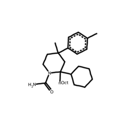 CCCCCCCCC1(C2CCCCC2)CC(C)(c2ccc(C)cc2)CCN1C(N)=O